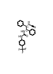 N#CN[C@@H](c1ccccc1)[C@@H](NC(=O)Nc1ccc(C(F)(F)F)cc1)c1ccccc1